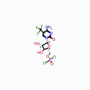 Nc1nc(=O)n([C@@H]2O[C@H](COP(=O)(Cl)Cl)C(O)[C@@H]2O)cc1C(F)(F)F